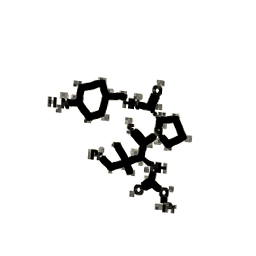 CC(C)CC(C)(C)[C@H](NC(=O)OC(C)C)C(=S)N1CCC[C@H]1C(=O)NCC1CCC(N)CC1